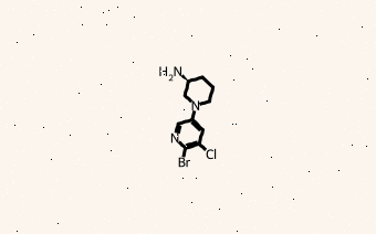 N[C@H]1CCCN(c2cnc(Br)c(Cl)c2)C1